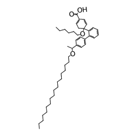 CCCCCCCCCCCCCCCCCCOC(C)c1ccc(-c2ccccc2C2(OCCCCCC)C=CC(C(=O)O)=CC2)cc1